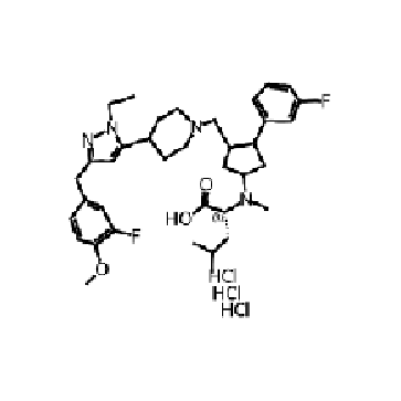 CCn1nc(Cc2ccc(OC)c(F)c2)cc1C1CCN(CC2CC(N(C)[C@H](CC(C)C)C(=O)O)CC2c2cccc(F)c2)CC1.Cl.Cl.Cl